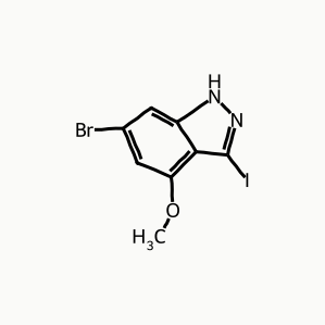 COc1cc(Br)cc2[nH]nc(I)c12